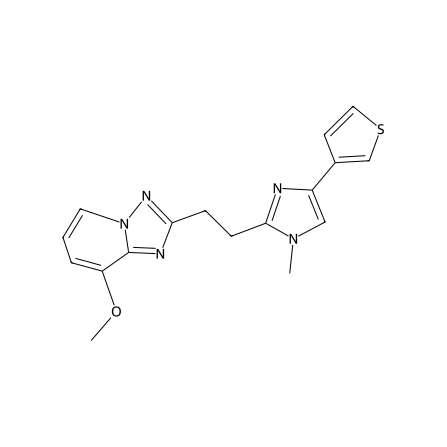 COc1cccn2nc(CCc3nc(-c4ccsc4)cn3C)nc12